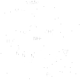 COC(=O)c1ccc([C@H](C)NC(=O)c2c(C)nn3c2N(Cc2cc(Br)cc(C(F)(F)F)c2)CC3)cc1